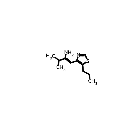 CCCc1scnc1/C=C(\N)C(C)C